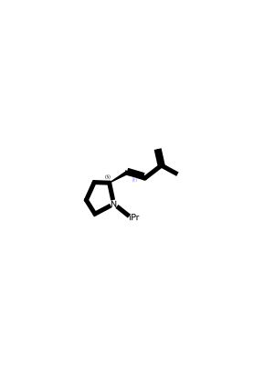 C=C(C)/C=C/[C@@H]1CCCN1C(C)C